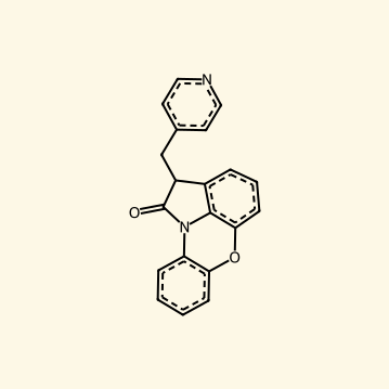 O=C1C(Cc2ccncc2)c2cccc3c2N1c1ccccc1O3